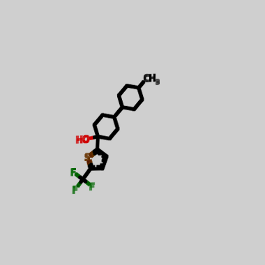 CC1CCC(C2CCC(O)(c3ccc(C(F)(F)F)s3)CC2)CC1